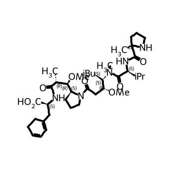 CC[C@H](C)[C@@H]([C@@H](CC(=O)N1CCC[C@H]1[C@H](OC)[C@@H](C)C(=O)N[C@@H](CC1=CC=CCC1)C(=O)O)OC)N(C)C(=O)[C@@H](NC(=O)[C@]1(C)CCCN1)C(C)C